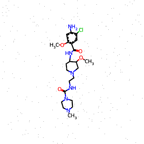 COc1cc(N)c(Cl)cc1C(=O)NC1CCN(CCNC(=O)N2CCN(C)CC2)CC1OC